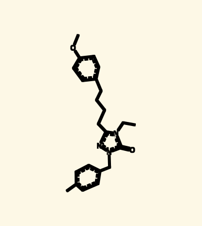 CCn1c(CCCCc2ccc(OC)cc2)nn(Cc2ccc(C)cc2)c1=O